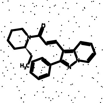 CC[C@@H]1CCCCN1C(=O)C=Cc1c(-c2ccccc2)nn2ccccc12